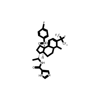 CC1C(C(F)(C(F)(F)F)C(F)(F)F)=CC=C2C1CC[C@H]1[C@H](C(C)NC(=O)c3cnc[nH]3)CC[C@@]21S(=O)(=O)c1ccc(F)cc1